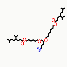 CC(C)CCC(CCC(=O)OCCCCCCCOC(CCCN(C)C)COCCCCCCOC(=O)CCC(CCC(C)C)C(C)C)C(C)C